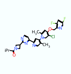 CC1=CC(OCc2ncc(F)cc2F)=C(Cl)CN1c1cc(-c2ccnc(C3CN(C(=O)C(C)C)C3)n2)ncc1C